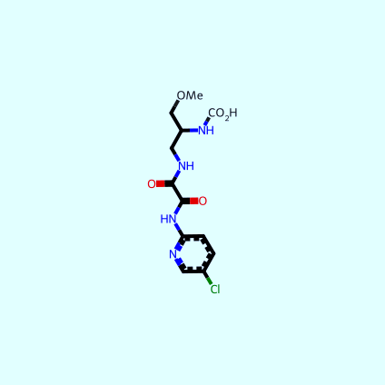 COCC(CNC(=O)C(=O)Nc1ccc(Cl)cn1)NC(=O)O